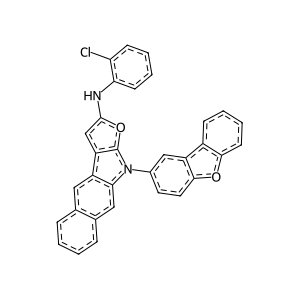 Clc1ccccc1Nc1cc2c3cc4ccccc4cc3n(-c3ccc4oc5ccccc5c4c3)c2o1